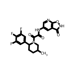 CC1CCC(c2cc(F)c(F)c(F)c2)N(C(=O)C(=O)Nc2cnc3o[nH]c(=O)c3c2)C1